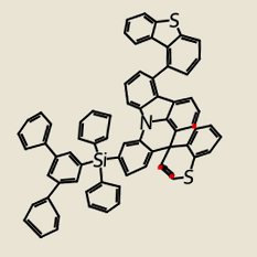 c1ccc(-c2cc(-c3ccccc3)cc([Si](c3ccccc3)(c3ccccc3)c3ccc4c(c3)-n3c5cccc(-c6cccc7sc8ccccc8c67)c5c5cccc(c53)C43c4ccccc4Sc4ccccc43)c2)cc1